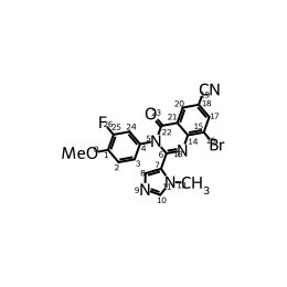 COc1ccc(-n2c(-c3cncn3C)nc3c(Br)cc(C#N)cc3c2=O)cc1F